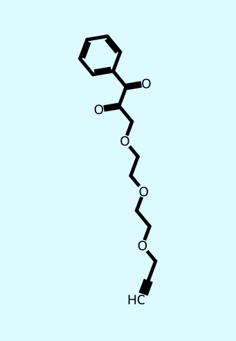 C#CCOCCOCCOCC(=O)C(=O)c1ccccc1